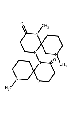 CN1CCCC2(C1)OCCC(=O)N2N1CCC(=O)N(C)C12CCCN(C)C2